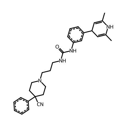 CC1=CC(c2cccc(NC(=O)NCCCN3CCC(C#N)(c4ccccc4)CC3)c2)C=C(C)N1